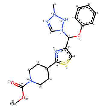 CN1N=CN(C(Oc2ccccc2)c2csc(C3CCN(C(=O)OC(C)(C)C)CC3)n2)N1